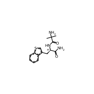 CC(C)(N)C(=O)N[C@H](Cc1csc2ccccc12)C(N)=O